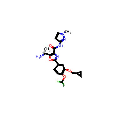 C[C@H](N)c1oc(-c2ccc(OC(F)F)c(OCC3CC3)c2)nc1C(=O)Nc1ccn(C)n1